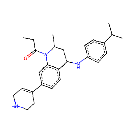 CCC(=O)N1c2cc(C3=CCNCC3)ccc2C(Nc2ccc(C(C)C)cc2)CC1C